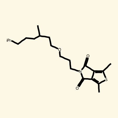 Cc1sc(C)c2c1C(=O)N(CCCOCCC(C)CCCC(C)C)C2=O